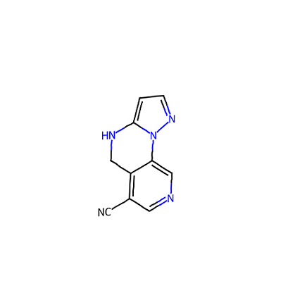 N#Cc1cncc2c1CNc1ccnn1-2